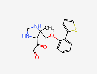 CC1(COc2ccccc2-c2cccs2)NCNC1C(=O)C=O